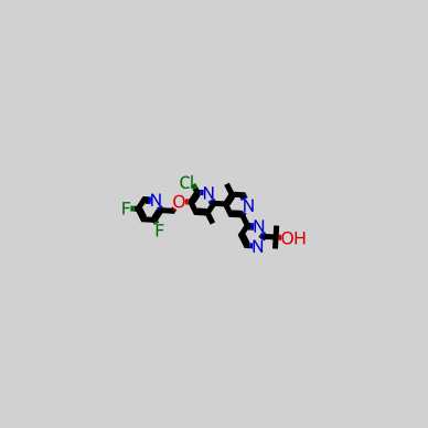 Cc1cnc(-c2ccnc(C(C)(C)O)n2)cc1-c1nc(Cl)c(OCc2ncc(F)cc2F)cc1C